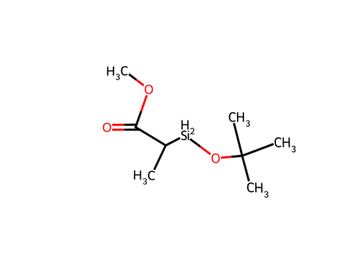 COC(=O)C(C)[SiH2]OC(C)(C)C